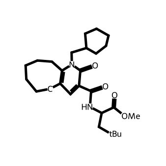 COC(=O)C(CC(C)(C)C)NC(=O)c1cc2c(n(CC3CCCCC3)c1=O)CCCCCC2